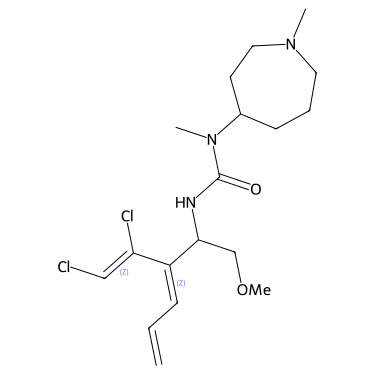 C=C/C=C(\C(Cl)=C\Cl)C(COC)NC(=O)N(C)C1CCCN(C)CC1